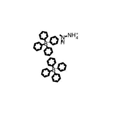 C[NH+](C)C.[NH4+].c1ccc([B-](c2ccccc2)(c2ccccc2)c2ccccc2)cc1.c1ccc([B-](c2ccccc2)(c2ccccc2)c2ccccc2)cc1